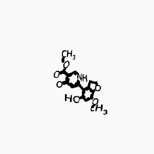 CCOC(=O)c1c[nH]c(-c2c(O)cc(OC)c3c2CCO3)cc1=O